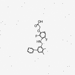 Cc1cc(-c2ccccc2)cc(CNc2c(F)ccc(OCC(=O)O)c2F)c1C